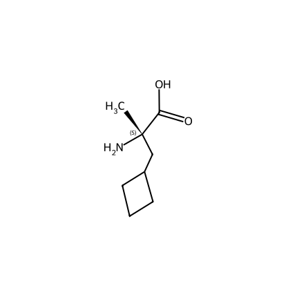 C[C@](N)(CC1CCC1)C(=O)O